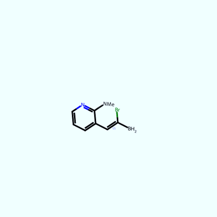 B/C(Br)=C/c1cccnc1NC